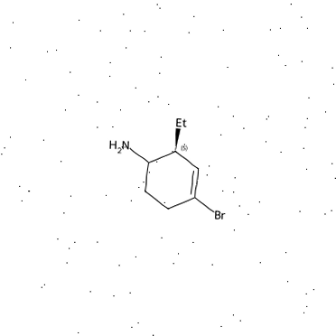 CC[C@H]1C=C(Br)CCC1N